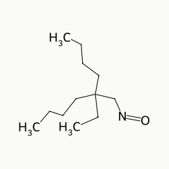 CCCCC(CC)(CCCC)CN=O